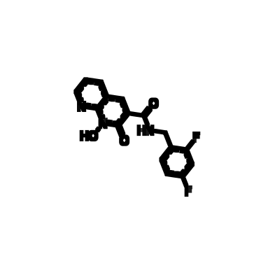 O=C(NCc1ccc(F)cc1F)c1cc2cccnc2n(O)c1=O